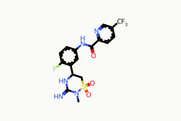 CN1C(=N)NC(c2cc(NC(=O)c3ccc(C(F)(F)F)cn3)ccc2F)CS1(=O)=O